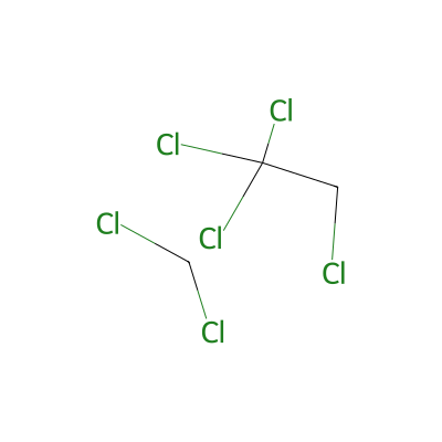 ClCC(Cl)(Cl)Cl.ClCCl